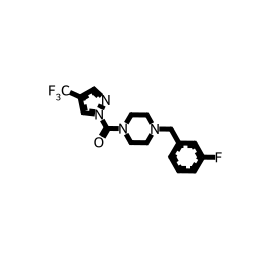 O=C(N1CCN(Cc2cccc(F)c2)CC1)n1cc(C(F)(F)F)cn1